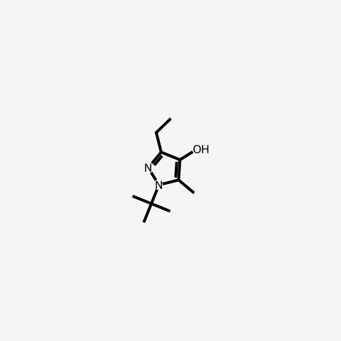 CCc1nn(C(C)(C)C)c(C)c1O